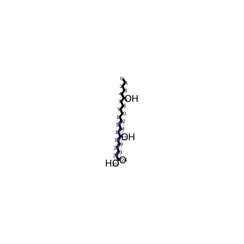 CCCCCC(O)CCCCC/C=C/C=C/C(O)=C/C=C/C=C/C(=O)O